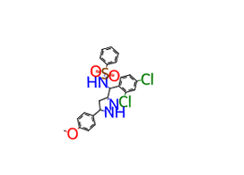 COc1ccc(C2CC(C(NS(=O)(=O)c3ccccc3)c3ccc(Cl)cc3Cl)=NN2)cc1